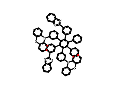 c1ccc(-c2c(-c3ccccc3)c(-c3cccc(N4c5ccccc5Sc5ccccc54)c3)c(-c3cccc(-c4nc5ccccc5s4)c3)c(-c3cccc(N4c5ccccc5Sc5ccccc54)c3)c2-c2cccc(-c3nc4ccccc4s3)c2)cc1